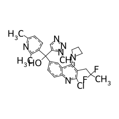 Cc1ccc(C(O)(c2ccc3nc(Cl)c(CC(C)(F)F)c(N4CCC4)c3c2)c2cnnn2C)c(C)n1